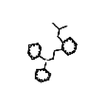 CC(C)Cc1ccccc1CCP(c1ccccc1)c1ccccc1